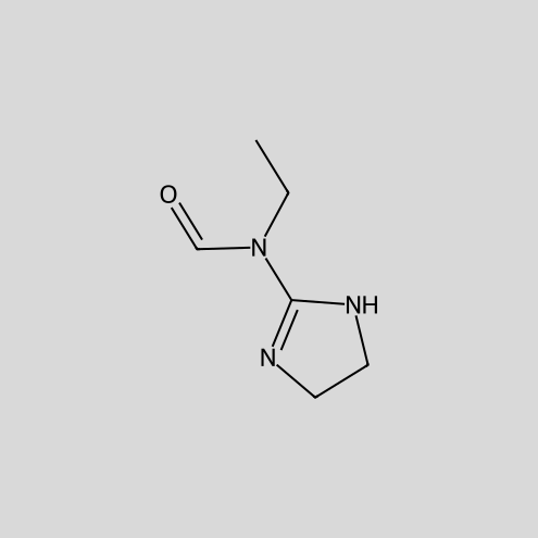 CCN(C=O)C1=NCCN1